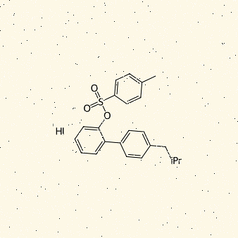 Cc1ccc(S(=O)(=O)Oc2ccccc2-c2ccc(CC(C)C)cc2)cc1.I